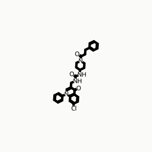 O=C(NCc1cn(-c2ccccc2)c2cc(Cl)ccc2c1=O)NC1CCN(C(=O)CCc2ccccc2)CC1